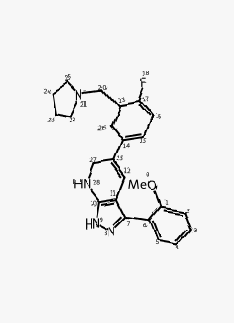 COc1ccccc1-c1n[nH]c2c1C=C(C1=CC=C(F)C(CN3CCCC3)C1)CN2